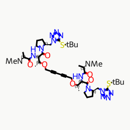 CN[C@@H](C)C(=O)N[C@H](C(=O)N1CCC[C@H]1Cn1nnnc1SC(C)(C)C)[C@@H](C)OCC#CC#CCO[C@@H](C)[C@@H](NC(=O)[C@H](C)NC)C(=O)N1CCC[C@@H]1Cn1nnnc1SC(C)(C)C